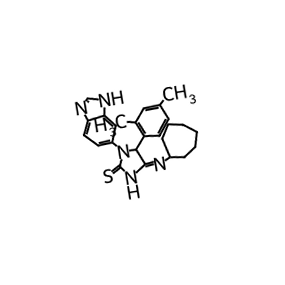 Cc1ccc(C2/C(=N\C3CCCCCC3)NC(=S)N2c2ccc3nc[nH]c3c2)c(C)c1